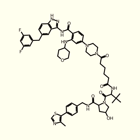 Cc1ncsc1-c1ccc(CNC(=O)C2CC(O)CN2C(=O)C(NC(=O)CCCCC(=O)N2CCN(c3ccc(C(=O)Nc4n[nH]c5ccc(Cc6cc(F)cc(F)c6)cc45)c(NC4CCOCC4)c3)CC2)C(C)(C)C)cc1